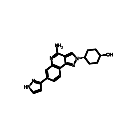 Nc1nc2cc(-c3cc[nH]n3)ccc2c2nn([C@H]3CC[C@H](O)CC3)cc12